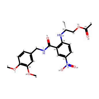 COc1ccc(CNC(=O)c2cc([N+](=O)[O-])ccc2N[C@H](C)COC(C)=O)cc1OC